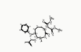 C=C(C)CO[C@H]1[C@H](C)OC(=O)[C@@H](N(C(=O)OC(C)(C)C)C(=O)OC(C)(C)C)CCC[C@@H]1Oc1ccccc1